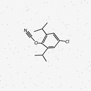 CC(C)c1cc(Cl)cc(C(C)C)c1OC#N